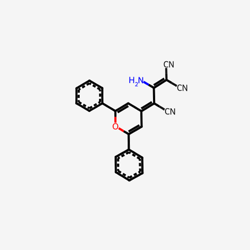 N#CC(C#N)=C(N)C(C#N)=C1C=C(c2ccccc2)OC(c2ccccc2)=C1